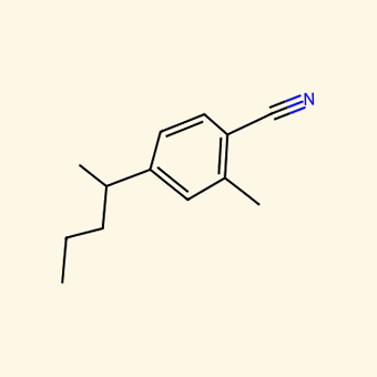 CCCC(C)c1ccc(C#N)c(C)c1